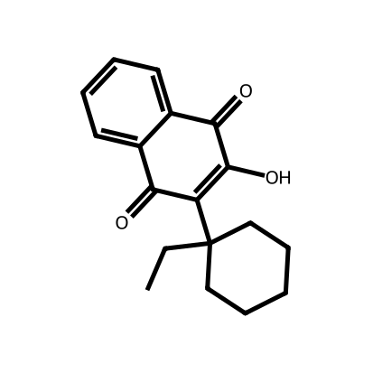 CCC1(C2=C(O)C(=O)c3ccccc3C2=O)CCCCC1